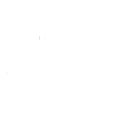 O=C(O)c1c(C(F)C(F)F)cccc1C(F)C(F)F